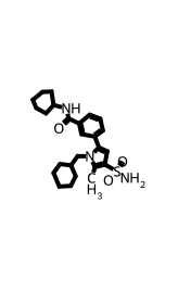 Cc1c(S(N)(=O)=O)cc(-c2cccc(C(=O)NC3CCCCC3)c2)n1CC1CCCCC1